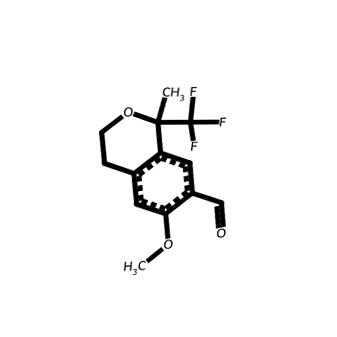 COc1cc2c(cc1C=O)C(C)(C(F)(F)F)OCC2